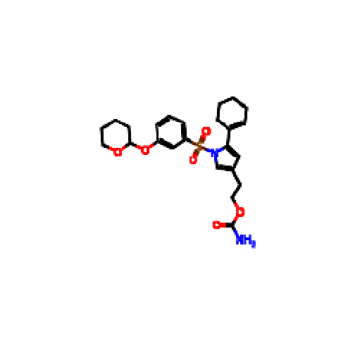 NC(=O)OCCc1cc(C2=CCCCC2)n(S(=O)(=O)c2cccc(OC3CCCCO3)c2)c1